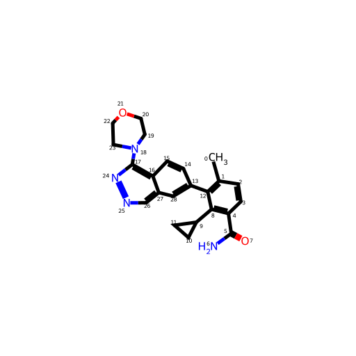 Cc1ccc(C(N)=O)c(C2CC2)c1-c1ccc2c(N3CCOCC3)nncc2c1